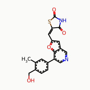 Cc1cc(-c2cncc3cc(/C=C4/SC(=O)NC4=O)oc23)ccc1CO